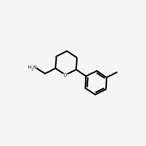 Cc1cccc(C2CCCC(CN)O2)c1